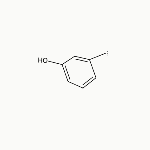 [C]c1cccc(O)c1